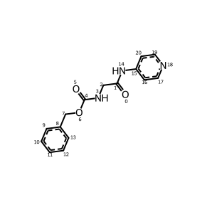 O=C(CNC(=O)OCc1ccccc1)Nc1ccncc1